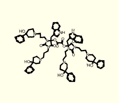 O=C(OC1(Cc2c[nH]c3ccccc23)C(=O)N(CCCN2CCC(O)(c3ccccc3)CC2)C(=O)N1CCCN1CCC(O)(c2ccccc2)CC1)C(=O)OC1(Cc2c[nH]c3ccccc23)C(=O)N(CCCN2CCC(O)(c3ccccc3)CC2)C(=O)N1CCCN1CCC(O)(c2ccccc2)CC1